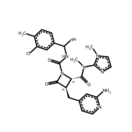 CCCC(NC(=O)N1C(=O)[C@H](Cc2ccnc(N)c2)[C@H]1C(=O)N(C)c1nccn1C)c1ccc(C)c(Cl)c1